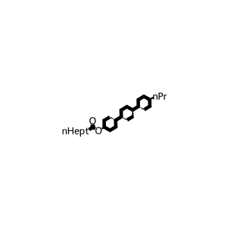 CCCCCCCC(=O)O[C@H]1CC[C@H]([C@H]2CC[C@H]([C@H]3CC[C@H](CCC)CC3)CC2)CC1